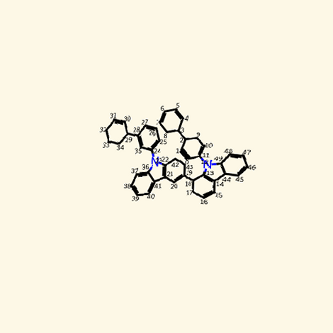 C1#CC(C2C=CC=CC2)CC=C1N1C2=C(C=CCC2C2=Cc3c(n(-c4cccc(C5C=CCCC5)c4)c4ccccc34)CC2)C2C=CC=CC21